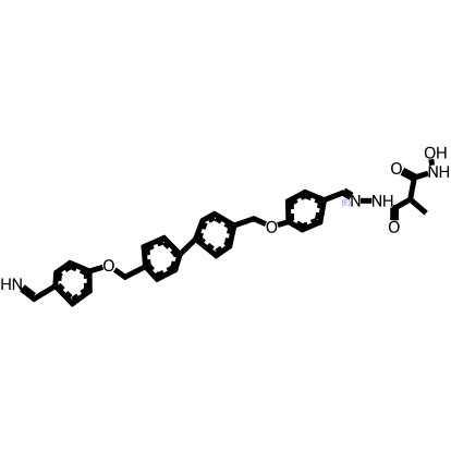 CC(C(=O)NO)C(=O)N/N=C/c1ccc(OCc2ccc(-c3ccc(COc4ccc(C=N)cc4)cc3)cc2)cc1